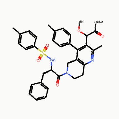 COC(=O)C(OC(C)(C)C)c1c(C)nc2c(c1-c1ccc(C)cc1)CN(C(=O)C(Cc1ccccc1)NS(=O)(=O)c1ccc(C)cc1)CC2